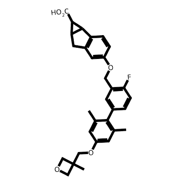 Cc1cc(OCC2(C)COC2)cc(C)c1-c1ccc(F)c(COc2ccc3c(c2)CC2C(C(=O)O)C32)c1